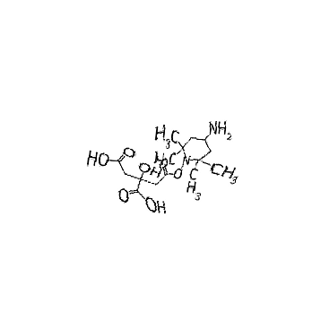 CC1(C)CC(N)CC(C)(C)N1OC(=O)CC(O)(CC(=O)O)C(=O)O